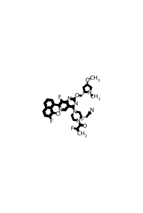 C=C(F)C(=O)N1CCN(c2nc(OC[C@@H]3C[C@@H](OC)CN3C)nc3c(F)c(-c4cccc5ccc(F)c(Cl)c45)ncc23)C[C@@H]1CC#N